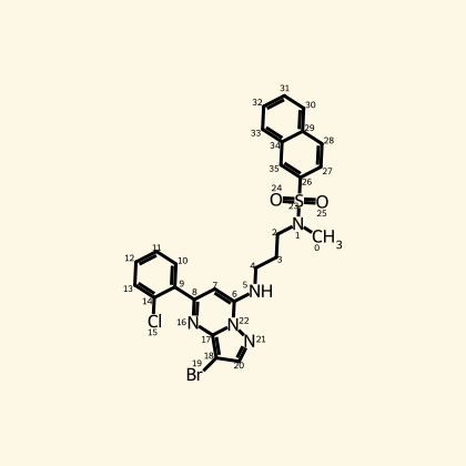 CN(CCCNc1cc(-c2ccccc2Cl)nc2c(Br)cnn12)S(=O)(=O)c1ccc2ccccc2c1